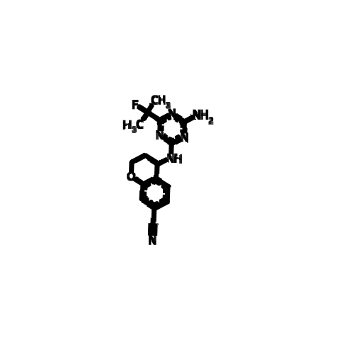 CC(C)(F)c1nc(N)nc(NC2CCOc3cc(C#N)ccc32)n1